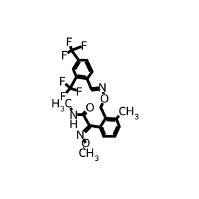 CNC(=O)/C(=N/OC)c1cccc(C)c1CO/N=C/c1ccc(C(F)(F)F)cc1C(F)(F)F